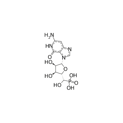 Nc1cc2ncn([C@@H]3O[C@H](C(O)P(=O)(O)O)[C@@H](O)[C@H]3O)c2c(=O)[nH]1